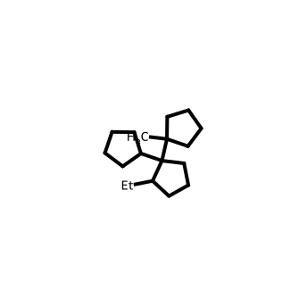 CC[C]1CCCC1(C1CCCC1)C1(C)CCCC1